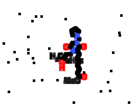 CCCCCCC(C)(O)CCN1C(=O)CN(CN2CCCC2)C(=O)C1CCCCCCC(=O)OC